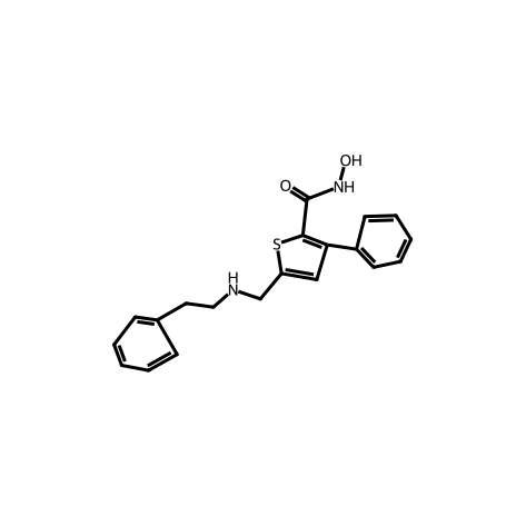 O=C(NO)c1sc(CNCCc2ccccc2)cc1-c1ccccc1